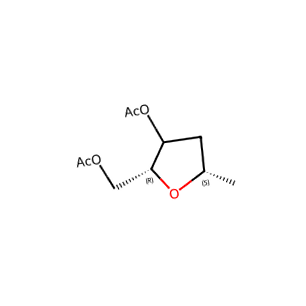 CC(=O)OC[C@H]1O[C@@H](C)CC1OC(C)=O